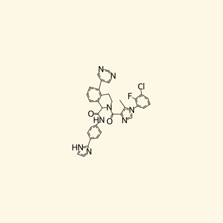 Cc1c(C(=O)N2CCc3c(-c4cncnc4)cccc3C2C(=O)Nc2ccc(-c3ncc[nH]3)cc2)ncn1-c1cccc(Cl)c1F